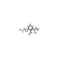 CCCOc1cccc([C](C)CF)c1CC